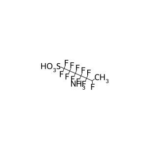 CC(F)C(F)(F)C(F)(F)C(F)(F)C(F)(F)C(F)(F)S(=O)(=O)O.N